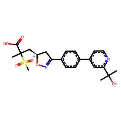 CC(C)(O)c1cc(-c2ccc(C3=NO[C@@H](CC(C)(C(=O)O)S(C)(=O)=O)C3)cc2)ccn1